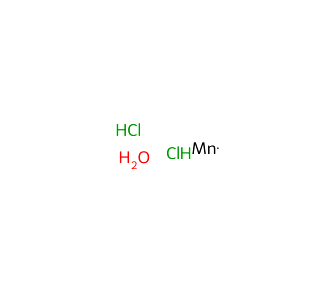 Cl.Cl.O.[Mn]